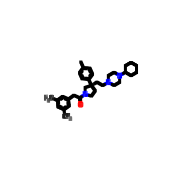 Cc1ccc([C@]2(CCN3CCN(C4CCCCC4)CC3)CCN(C(=O)Cc3cc(C(F)(F)F)cc(C(F)(F)F)c3)C2)cc1